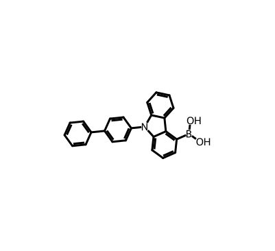 OB(O)c1cccc2c1c1ccccc1n2-c1ccc(-c2ccccc2)cc1